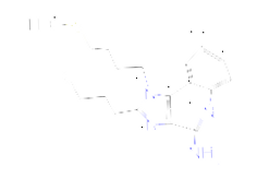 CCCCc1nc2c(N)nc3ccccc3c2n1CCCCSC